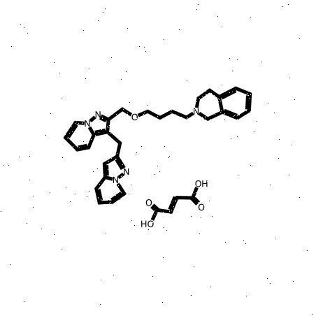 O=C(O)C=CC(=O)O.c1ccc2c(c1)CCN(CCCCOCc1nn3ccccc3c1Cc1cc3ccccn3n1)C2